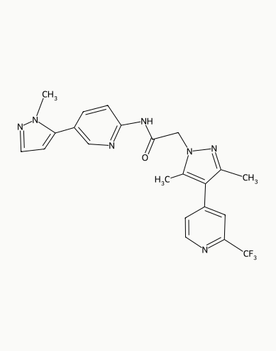 Cc1nn(CC(=O)Nc2ccc(-c3ccnn3C)cn2)c(C)c1-c1ccnc(C(F)(F)F)c1